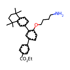 CCOC(=O)c1ccc(-c2ccc(OCCCCN)c(-c3ccc4c(c3)C(C)(C)CCC4(C)C)c2)cc1